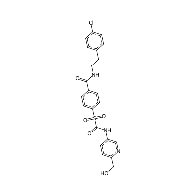 O=C(NCCc1ccc(Cl)cc1)c1ccc(S(=O)(=O)C(=O)Nc2ccc(CO)nc2)cc1